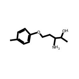 Cc1ccc(OCCC(N)C(C)O)cc1